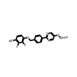 CCCCCOc1cnc(-c2ccc(COc3ccc(C#N)c(F)c3F)cc2)nc1